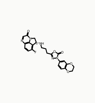 O=c1oc(CCCN[C@H]2Cn3c(=O)cnc4ccc(F)c2c43)nn1-c1ccc2c(c1)OCCO2